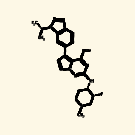 COc1nc(N[C@H]2CCN(C)C[C@H]2F)nn2ccc(-c3ccc4nnn([C@H](C)C(F)(F)F)c4c3)c12